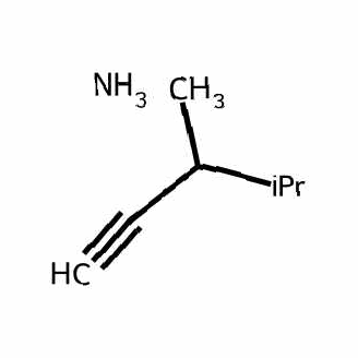 C#CC(C)C(C)C.N